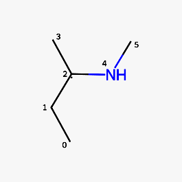 CC[C](C)NC